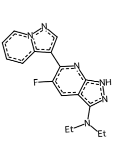 CCN(CC)c1n[nH]c2nc(-c3cnn4ccccc34)c(F)cc12